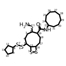 NSC1CCC(SSC2CCCC2)C2SSC2CCC1C(=O)NC1CCCCCCCC1